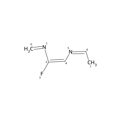 C=N/C(F)=C\N=C/C